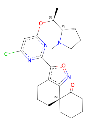 C[C@H](Oc1cc(Cl)nc(-c2onc3c2CCC[C@@]32CCCCC2=O)n1)[C@@H]1CCCN1C